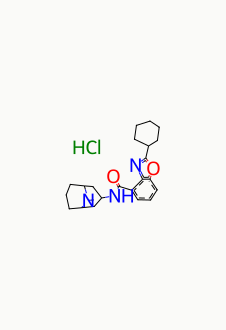 CN1C2CCCC1CC(NC(=O)c1cccc3oc(C4CCCCC4)nc13)C2.Cl